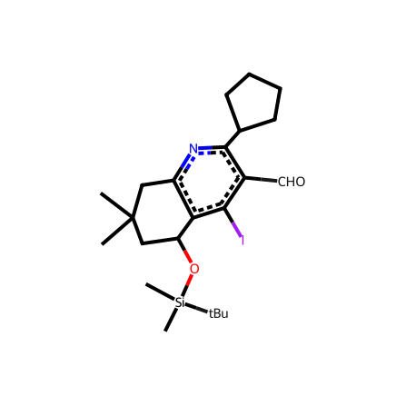 CC1(C)Cc2nc(C3CCCC3)c(C=O)c(I)c2C(O[Si](C)(C)C(C)(C)C)C1